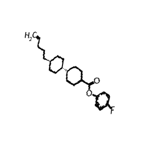 C=CCCC[C@H]1CC[C@H](C2CCC(C(=O)Oc3ccc(F)cc3)CC2)CC1